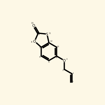 C=CCOc1ccc2oc(=O)sc2c1